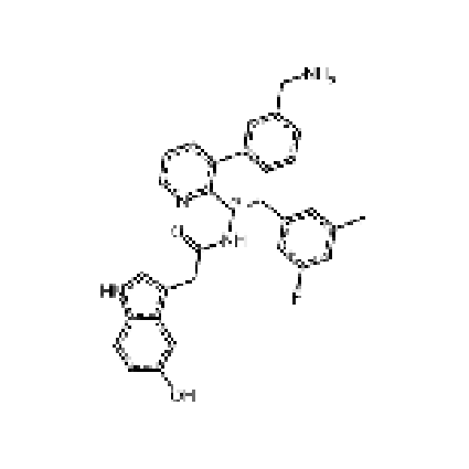 NCc1cccc(-c2cccnc2[C@H](Cc2cc(F)cc(F)c2)NC(=O)Cc2c[nH]c3ccc(O)cc23)c1